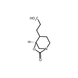 O=C(O)CCC1CCN2C[C@H]1OC2=O